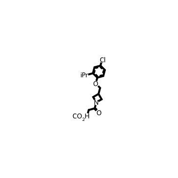 CC(C)c1cc(Cl)ccc1OCC1CN(C(=O)CC(=O)O)C1